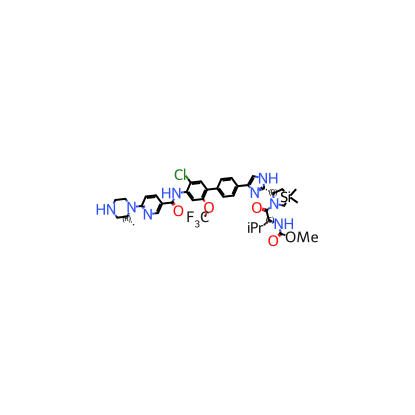 COC(=O)N[C@H](C(=O)N1C[Si](C)(C)C[C@H]1c1nc(-c2ccc(-c3cc(Cl)c(NC(=O)c4ccc(N5CCNC[C@H]5C)nc4)cc3OC(F)(F)F)cc2)c[nH]1)C(C)C